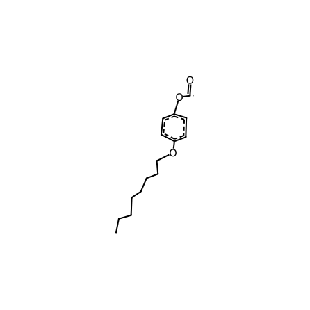 CCCCCCCCOc1ccc(O[C]=O)cc1